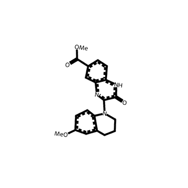 COC(=O)c1ccc2[nH]c(=O)c(N3CCCc4cc(OC)ccc43)nc2c1